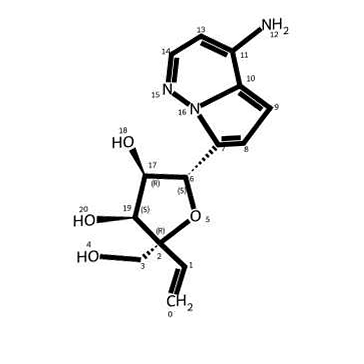 C=C[C@]1(CO)O[C@@H](c2ccc3c(N)ccnn23)[C@H](O)[C@@H]1O